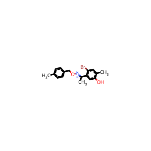 C/C(=N\OCc1ccc(C)cc1)c1cc(O)c(C)cc1Br